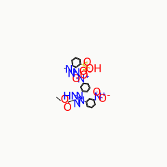 CCOC(=O)C1=NN(c2cccc([N+](=O)[O-])c2)N(c2cccc([N+](=O)[O-])c2)N1.Cn1nnc2c(S(=O)(=O)O)cccc21